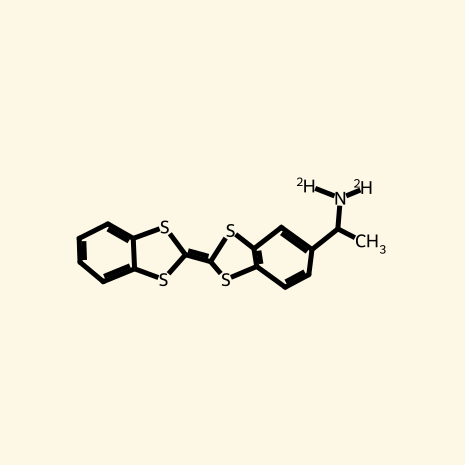 [2H]N([2H])C(C)c1ccc2c(c1)SC(=C1Sc3ccccc3S1)S2